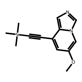 COc1cc(C#C[Si](C)(C)C)c2cncn2c1